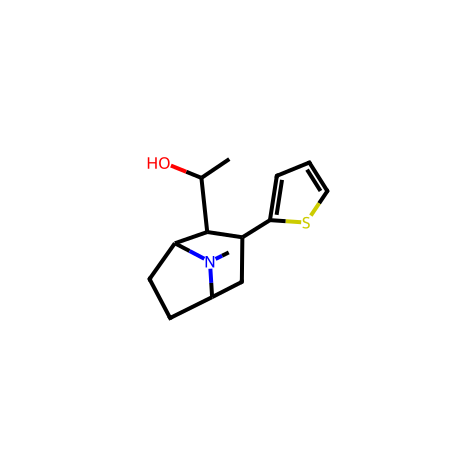 CC(O)C1C(c2cccs2)CC2CCC1N2C